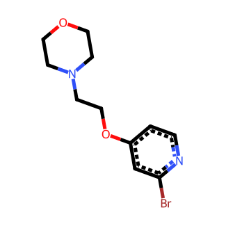 Brc1cc(OCCN2CCOCC2)ccn1